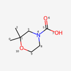 CC1(C)CN(C(=O)O)CCO1